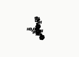 CC(C)C(N)(C(=O)OCc1ccccc1)P(=O)(O)OC(C(=O)O)c1cccc(CNC(=O)CC(C)(C)C)c1